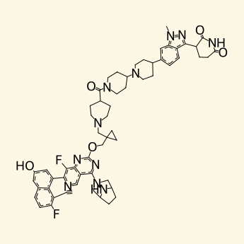 C#Cc1c(F)ccc2cc(O)cc(-c3ncc4c(N5CC6CCC(C5)N6)nc(OCC5(CN6CCC(C(=O)N7CCC(N8CCC(c9ccc%10c(C%11CCC(=O)NC%11=O)nn(C)c%10c9)CC8)CC7)CC6)CC5)nc4c3F)c12